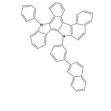 c1ccc(-n2c3ccccc3c3c2c2ccccc2c2c4c5ccccc5ccc4n(-c4cccc(-c5ccc6ccccc6c5)c4)c23)cc1